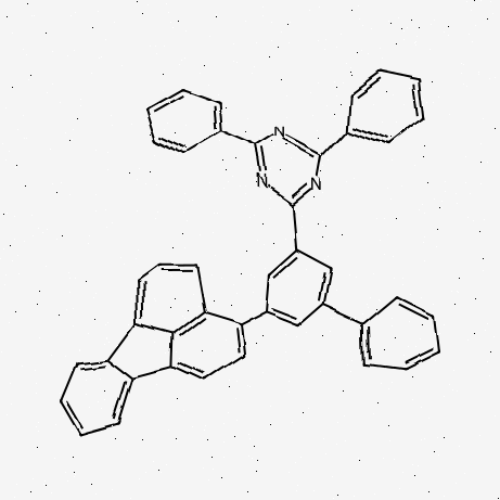 c1ccc(-c2cc(-c3nc(-c4ccccc4)nc(-c4ccccc4)n3)cc(-c3ccc4c5c(cccc35)-c3ccccc3-4)c2)cc1